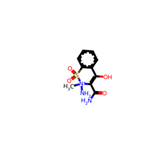 C[N+]1(N)C(C(N)=O)=C(O)c2ccccc2S1(=O)=O